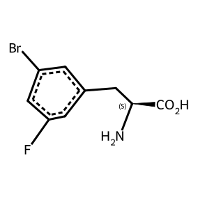 N[C@@H](Cc1cc(F)cc(Br)c1)C(=O)O